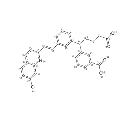 O=C(O)CCSC(c1cccc(C=Cc2ccc3ccc(Cl)cc3n2)c1)c1cccc(C(=O)O)c1